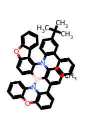 Cc1cc2c3c(c1)N(c1ccc(C(C)(C)C)cc1-c1ccccc1)c1c(ccc4oc5ccccc5c14)B3N1c3ccccc3Oc3cccc-2c31